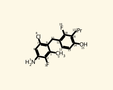 Cc1c(F)c(N)cc(Cl)c1Cc1ccc(O)c(C(C)C)c1F